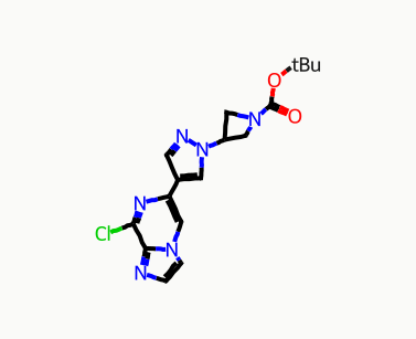 CC(C)(C)OC(=O)N1CC(n2cc(-c3cn4ccnc4c(Cl)n3)cn2)C1